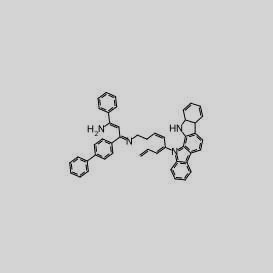 C=C/C=C(\C=C/CC/N=C(\C=C(/N)c1ccccc1)c1ccc(-c2ccccc2)cc1)n1c2ccccc2c2ccc3c(c21)NC1C=CC=CC31